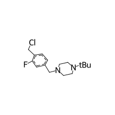 CC(C)(C)N1CCN(Cc2ccc(CCl)c(F)c2)CC1